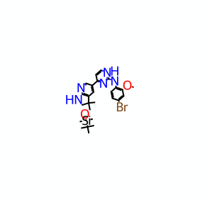 COc1cc(Br)ccc1Nc1nccc(-c2cnc3c(c2)C(C)(CO[Si](C)(C)C(C)(C)C)CN3)n1